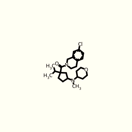 CC(C)C1(C(=O)N2CCc3ccc(Cl)cc3C2)CCC(N(C)C2CCOCC2)C1